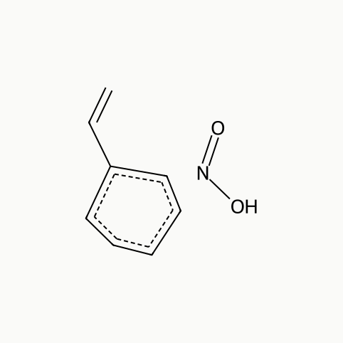 C=Cc1ccccc1.O=NO